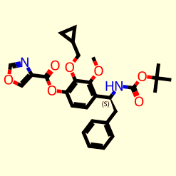 COc1c([C@H](Cc2ccccc2)NC(=O)OC(C)(C)C)ccc(OC(=O)c2cocn2)c1OCC1CC1